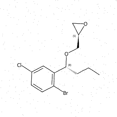 CCC[C@@H](OC[C@H]1CO1)c1cc(Cl)ccc1Br